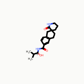 CC(C)[C@H](O)NC(=O)c1ccc2c(c1)CCC1(CCCNC1=O)C2